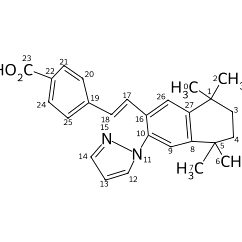 CC1(C)CCC(C)(C)c2cc(-n3cccn3)c(/C=C/c3ccc(C(=O)O)cc3)cc21